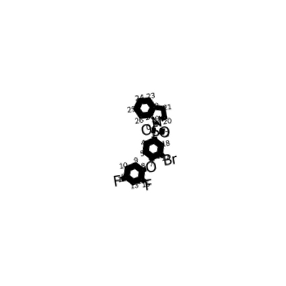 O=S(=O)(c1ccc(Oc2ccc(F)cc2F)c(Br)c1)N1CCc2ccccc21